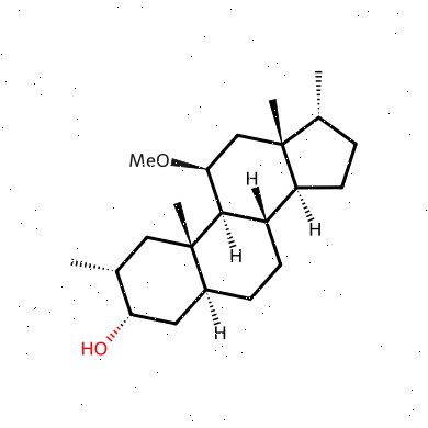 CO[C@H]1C[C@]2(C)[C@H](C)CC[C@H]2[C@@H]2CC[C@H]3C[C@H](O)[C@H](C)C[C@]3(C)[C@H]21